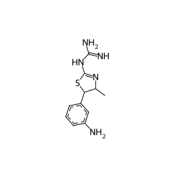 CC1N=C(NC(=N)N)SC1c1cccc(N)c1